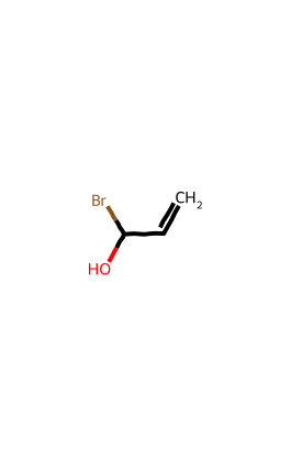 C=C[C](O)Br